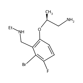 CCNCc1c(O[C@@H](C)CN)ccc(F)c1Br